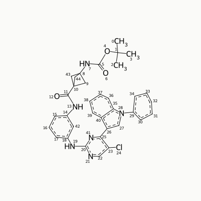 CC(C)(C)OC(=O)NC12CC(C(=O)Nc3cccc(Nc4ncc(Cl)c(-c5cn(-c6ccccc6)c6ccccc56)n4)c3)(C1)C2